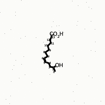 CC(O)CC/C=C\CCCCCCCC(=O)O